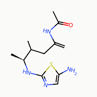 C=C(CC(C)[C@H](C)Nc1ncc(N)s1)NC(C)=O